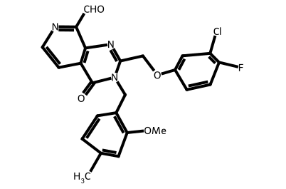 COc1cc(C)ccc1Cn1c(COc2ccc(F)c(Cl)c2)nc2c(C=O)nccc2c1=O